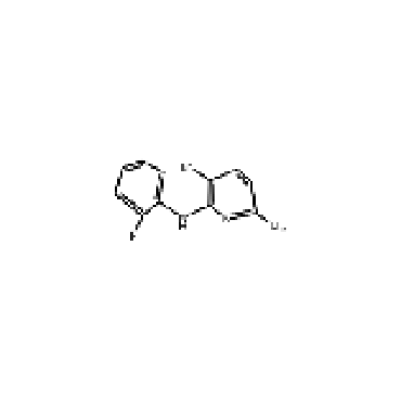 Fc1ccccc1Nc1nc(C(F)(F)F)ccc1Br